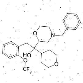 OC(Cc1ccccc1OC(F)(F)F)(C1CCOCC1)C1CN(Cc2ccccc2)CCO1